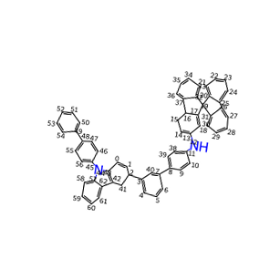 C1=CC(c2cccc(-c3ccc(NC4=CCC5C(=C4)C4(c6ccccc6-c6ccccc64)c4ccccc45)cc3)c2)Cc2c1n(-c1ccc(-c3ccccc3)cc1)c1ccccc21